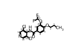 CCCOc1ccc(C(=O)Nc2c(Cl)cncc2Cl)cc1OC(F)F